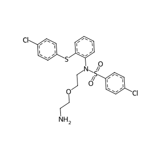 NCCOCCN(c1ccccc1Sc1ccc(Cl)cc1)S(=O)(=O)c1ccc(Cl)cc1